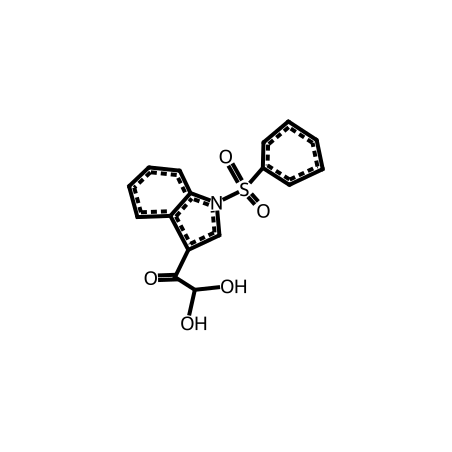 O=C(c1cn(S(=O)(=O)c2ccccc2)c2ccccc12)C(O)O